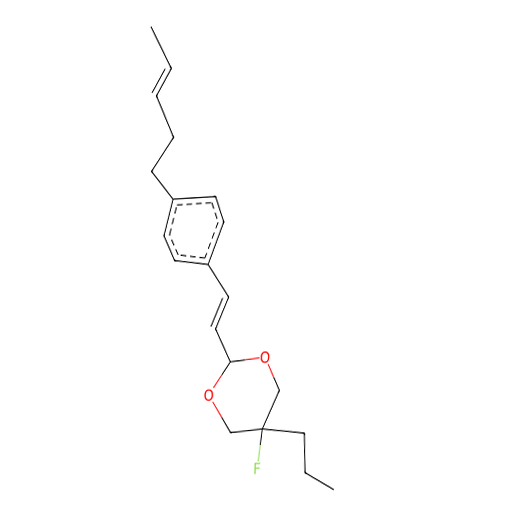 C/C=C/CCc1ccc(/C=C/C2OCC(F)(CCC)CO2)cc1